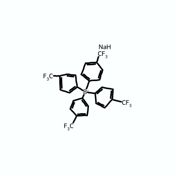 FC(F)(F)c1ccc([B-](c2ccc(C(F)(F)F)cc2)(c2ccc(C(F)(F)F)cc2)c2ccc(C(F)(F)F)cc2)cc1.[NaH]